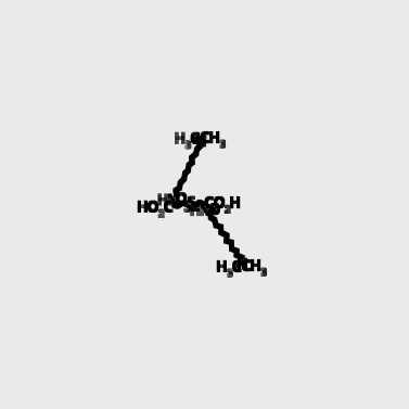 CN(C)CCCCCCCCCCCCC(=O)NC(CCSSCCC(NC(=O)CCCCCCCCCCCCN(C)C)C(=O)O)C(=O)O